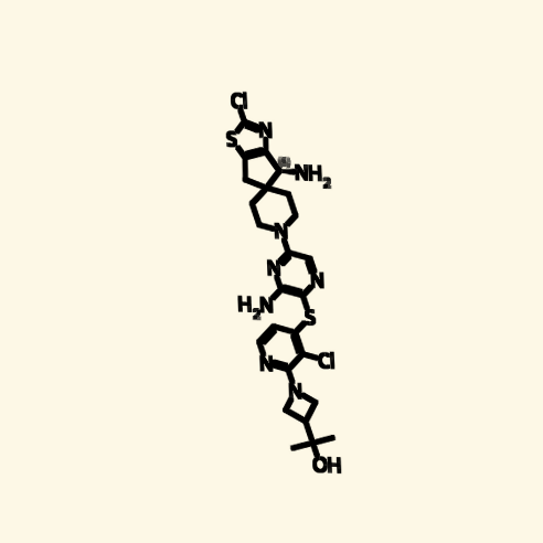 CC(C)(O)C1CN(c2nccc(Sc3ncc(N4CCC5(CC4)Cc4sc(Cl)nc4[C@H]5N)nc3N)c2Cl)C1